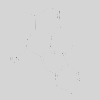 CC(N)c1cc2cccc(Cl)c2c(=O)n1-c1cccc(F)c1